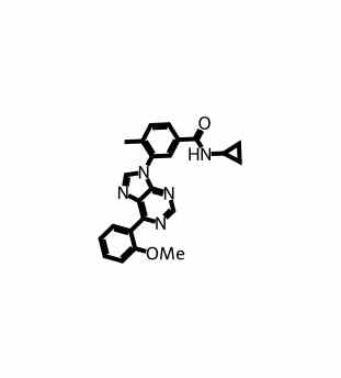 COc1ccccc1-c1ncnc2c1ncn2-c1cc(C(=O)NC2CC2)ccc1C